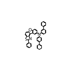 C1=CC(c2ccc(N(c3cccc(-c4ccccc4)c3)c3ccc4oc5ccc6sc(-c7ccccc7)nc6c5c4c3)cc2)=CCC1